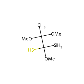 COC([SiH3])(S)C(C)(OC)OC